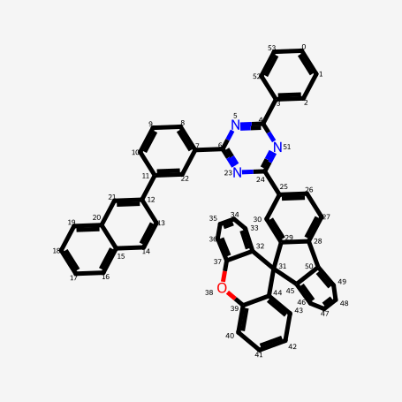 c1ccc(-c2nc(-c3cccc(-c4ccc5ccccc5c4)c3)nc(-c3ccc4c(c3)C3(c5ccccc5Oc5ccccc53)c3ccccc3-4)n2)cc1